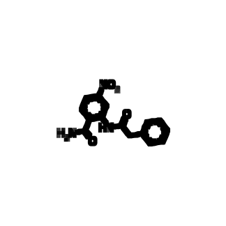 NC(=O)c1ccc([N+](=O)[O-])cc1NC(=O)Cc1ccccc1